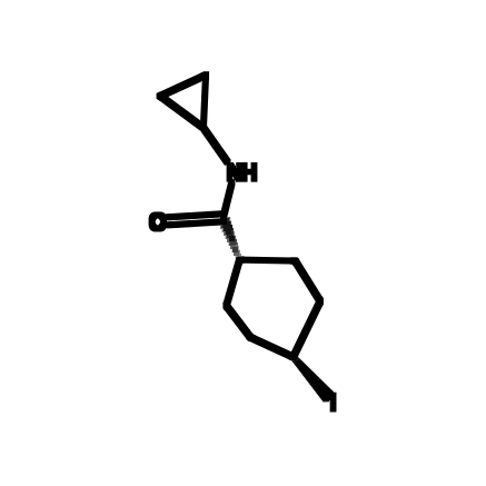 O=C(NC1CC1)[C@H]1CC[C@H](I)CC1